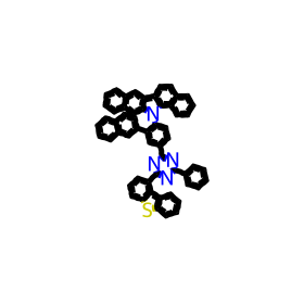 c1ccc(-c2nc(-c3ccc(-n4c5cc6ccccc6cc5c5ccc6ccccc6c54)c(-c4ccc5ccccc5c4)c3)nc(-c3cccc4sc5ccccc5c34)n2)cc1